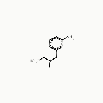 CN(CC(=O)O)Cc1cccc(N)c1